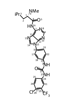 CN[C@@H](CC(C)C)C(=O)Nc1ncnc2c1ncn2-c1ccc(NC(=O)Nc2ccc(Cl)c(C(F)(F)F)c2)cc1